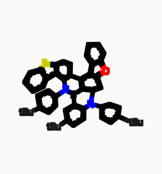 CC(C)(C)c1ccc(N2B3c4cc(C(C)(C)C)ccc4N(c4ccc(C(C)(C)C)cc4)c4cc5oc6ccccc6c5c(c43)-c3ccc4sc5ccccc5c4c32)cc1